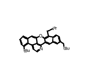 CC(C)Cc1c2c(cc3cc(CC(C)(C)C)ccc13)-c1nccc3c1c(cc1cccc(C(C)(C)C)c13)O2